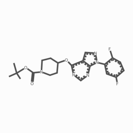 CC(C)(C)OC(=O)N1CCC(Oc2ncnc3c2cnn3-c2cc(F)ccc2F)CC1